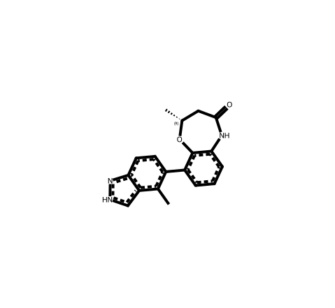 Cc1c(-c2cccc3c2O[C@H](C)CC(=O)N3)ccc2n[nH]cc12